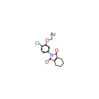 CC(=O)COc1cc(N2C(=O)C3=C(CCCC3)C2=O)ccc1Cl